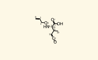 C=CCON[C@H](C(=O)O)C(C)C=C=O